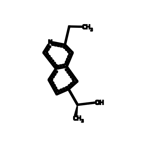 CCc1cc2cc([C@@H](C)O)ccc2cn1